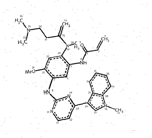 C=CC(=O)Nc1cc(Nc2nccc(-c3cn(C)c4ccccc34)n2)c(OC)cc1N(C)C(=C)CCN(C)C